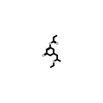 CCSC(C)CC1CC(=O)C=C(OC(=O)CC)C1